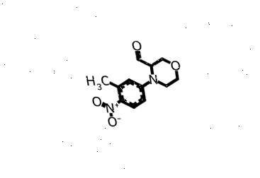 Cc1cc(N2CCOCC2C=O)ccc1[N+](=O)[O-]